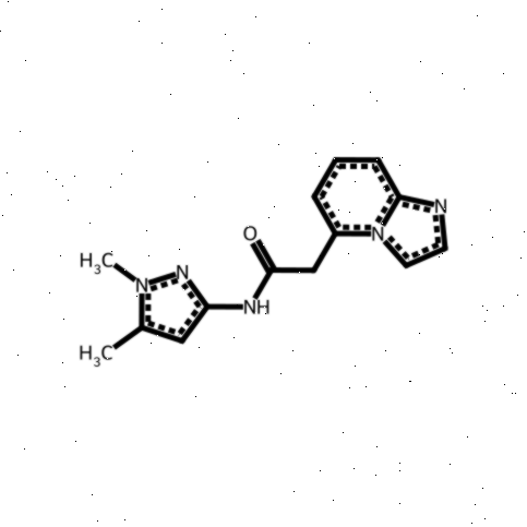 Cc1cc(NC(=O)Cc2cccc3nccn23)nn1C